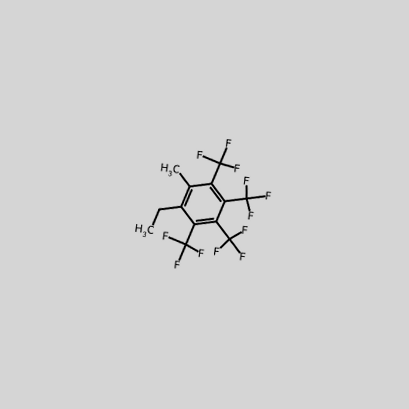 CCc1c(C)c(C(F)(F)F)c(C(F)(F)F)c(C(F)(F)F)c1C(F)(F)F